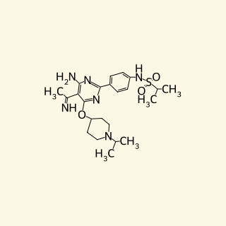 CC(=N)c1c(N)nc(-c2ccc(NS(=O)(=O)C(C)C)cc2)nc1OC1CCN(C(C)C)CC1